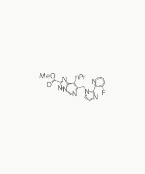 CCCc1c(Cn2ccnc2-c2ncccc2F)ncn2nc(C(=O)OC)nc12